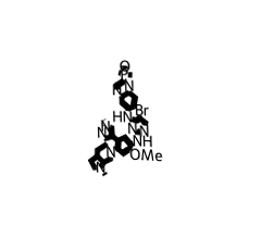 COc1cc(N2CCC3CCN(C)C3C2)c(-c2cnn(C)c2)cc1Nc1ncc(Br)c(Nc2ccc3nc(P(C)(C)=O)cnc3c2)n1